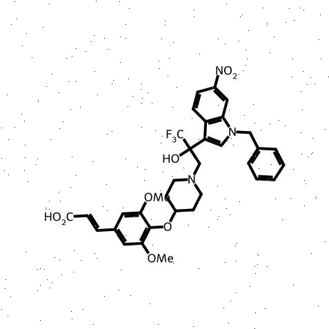 COc1cc(C=CC(=O)O)cc(OC)c1OC1CCN(CC(O)(c2cn(Cc3ccccc3)c3cc([N+](=O)[O-])ccc23)C(F)(F)F)CC1